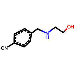 O=Nc1ccc(CNCCO)cc1